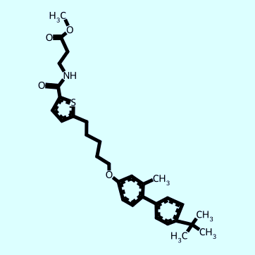 COC(=O)CCNC(=O)c1ccc(CCCCCOc2ccc(-c3ccc(C(C)(C)C)cc3)c(C)c2)s1